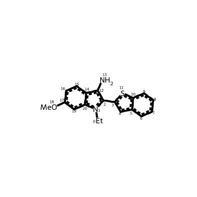 CCn1c(-c2cc3ccccc3s2)c(N)c2ccc(OC)cc21